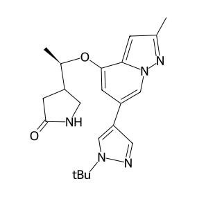 Cc1cc2c(O[C@H](C)C3CNC(=O)C3)cc(-c3cnn(C(C)(C)C)c3)cn2n1